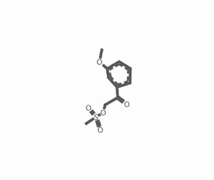 COc1cccc(C(=O)COS(C)(=O)=O)c1